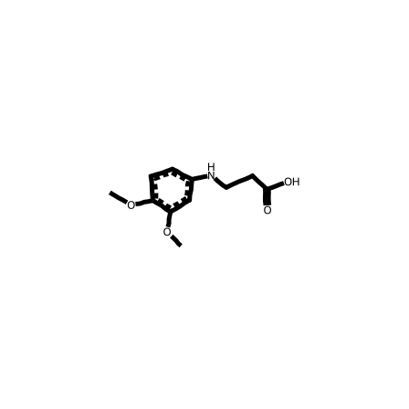 COc1ccc(NCCC(=O)O)cc1OC